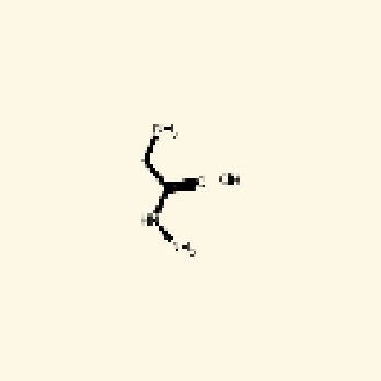 Cl.NCC(=O)NN